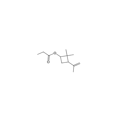 C=C(C)C1CC(OC(=O)CC)C1(C)C